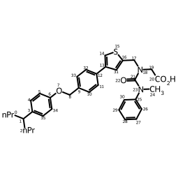 CCCC(CCC)c1ccc(OCc2ccc(-c3csc(CN(CC(=O)O)C(=O)N(C)c4ccccc4)c3)cc2)cc1